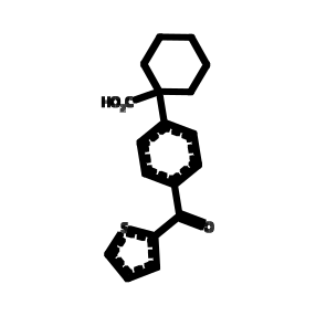 O=C(c1ccc(C2(C(=O)O)CCCCC2)cc1)c1cccs1